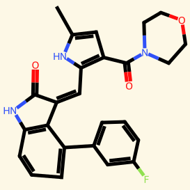 Cc1cc(C(=O)N2CCOCC2)c(/C=C2\C(=O)Nc3cccc(-c4cccc(F)c4)c32)[nH]1